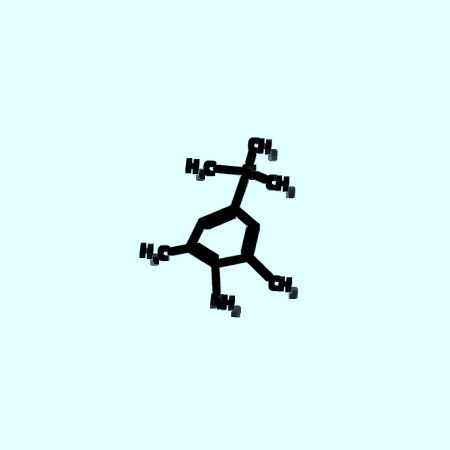 Cc1cc([Si](C)(C)C)cc(C)c1N